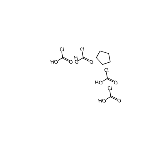 C1CCCC1.O=C(O)Cl.O=C(O)Cl.O=C(O)Cl.O=C(O)Cl